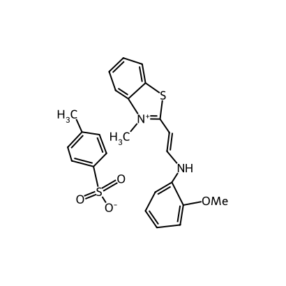 COc1ccccc1N/C=C/c1sc2ccccc2[n+]1C.Cc1ccc(S(=O)(=O)[O-])cc1